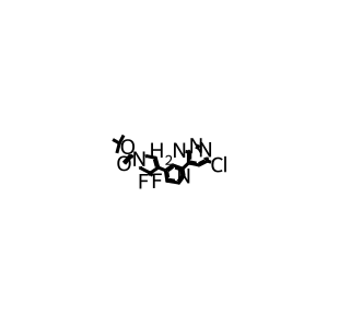 CC(C)(C)OC(=O)N1CC=C(c2ccnc(-c3cc(Cl)nnc3N)c2)C(F)(F)C1